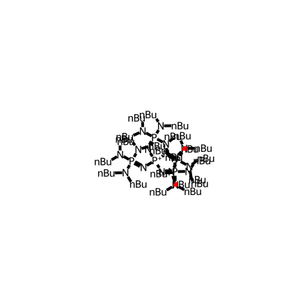 CCCCN(CCCC)P(=N[P+](N=P(N(CCCC)CCCC)(N(CCCC)CCCC)N(CCCC)CCCC)(N=P(N(CCCC)CCCC)(N(CCCC)CCCC)N(CCCC)CCCC)N=P(N(CCCC)CCCC)(N(CCCC)CCCC)N(CCCC)CCCC)(N(CCCC)CCCC)N(CCCC)CCCC